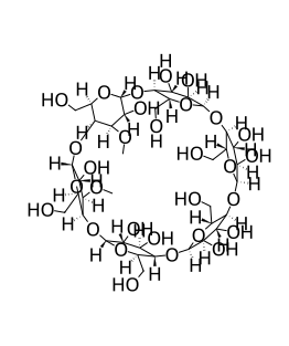 CO[C@@H]1[C@@H](O)[C@H]2O[C@@H]3[C@H](OC)[C@@H](O)[C@@H](O[C@H]4[C@H](O)[C@@H](O)[C@@H](O[C@H]5[C@H](O)[C@@H](O)[C@@H](O[C@H]6[C@H](O)[C@@H](O)[C@@H](O[C@H]7[C@H](O)[C@@H](O)[C@@H](O[C@H]1[C@@H](CO)O2)O[C@@H]7CO)O[C@@H]6CO)O[C@@H]5CO)O[C@@H]4CO)O[C@@H]3CO